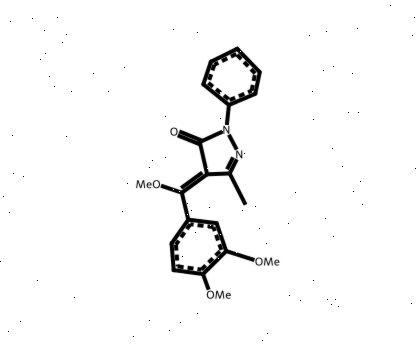 COC(=C1C(=O)N(c2ccccc2)N=C1C)c1ccc(OC)c(OC)c1